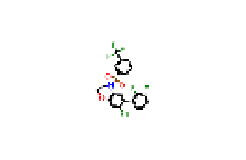 O=S(=O)(c1cccc(C(F)(F)F)c1)N1CCOc2cc(Cl)c(-c3cccc(F)c3F)cc21